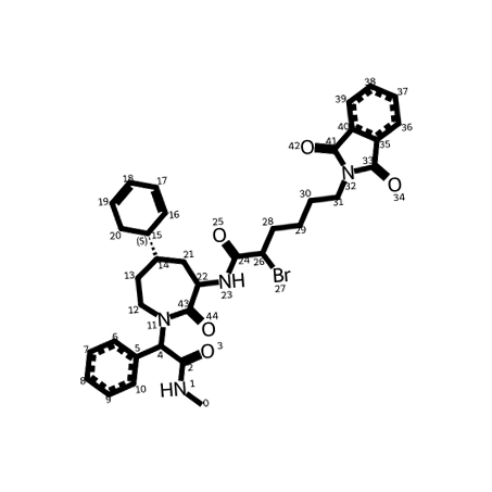 CNC(=O)C(c1ccccc1)N1CCC([C@H]2C=CC=CC2)CC(NC(=O)C(Br)CCCCN2C(=O)c3ccccc3C2=O)C1=O